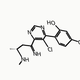 CN[C@H](C)CC(=N)c1ncnc(-c2ccc(Cl)cc2O)c1Cl